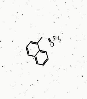 C=O.Cc1cccc2ccccc12.S